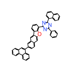 c1ccc(-c2nc(-c3cccc4ccccc34)nc(-c3cccc4c3oc3cc5ccc(-c6cc7ccccc7c7ccccc67)cc5cc34)n2)cc1